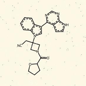 N#CCC1(n2cc(-c3ncnc4[nH]ccc34)c3ccccc32)CN(C(=O)C2CCCO2)C1